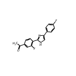 CC(=O)c1ccc(-c2nc(-c3ccc(F)cc3)c[nH]2)c(F)c1